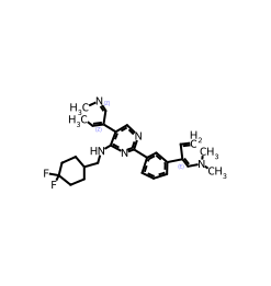 C=C/C(=C\N(C)C)c1cccc(-c2ncc(C(/C=N\C)=C/C)c(NCC3CCC(F)(F)CC3)n2)c1